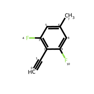 C#Cc1c(F)cc(C)cc1F